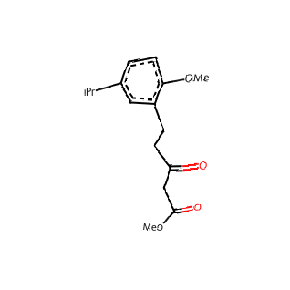 COC(=O)CC(=O)CCc1cc(C(C)C)ccc1OC